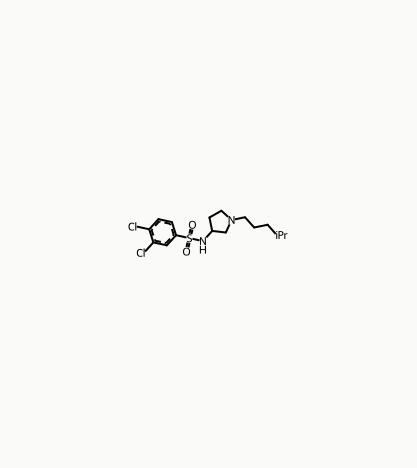 CC(C)CCCN1CCC(NS(=O)(=O)c2ccc(Cl)c(Cl)c2)C1